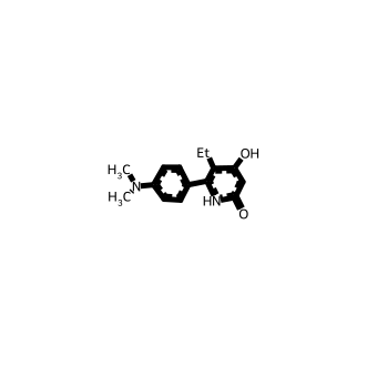 CCc1c(O)cc(=O)[nH]c1-c1ccc(N(C)C)cc1